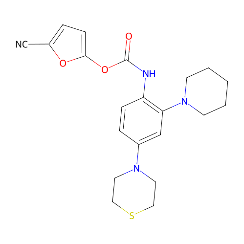 N#Cc1ccc(OC(=O)Nc2ccc(N3CCSCC3)cc2N2CCCCC2)o1